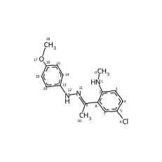 CNc1ccc(Cl)cc1/C(C)=N/Nc1ccc(OC)cc1